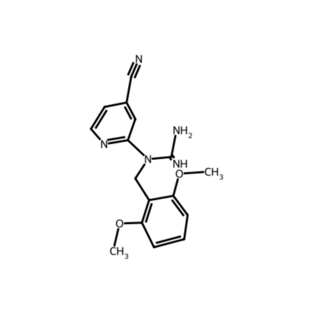 COc1cccc(OC)c1CN(C(=N)N)c1cc(C#N)ccn1